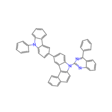 c1ccc(-c2nc(-n3c4ccc(-c5ccc6c(c5)c5ccccc5n6-c5ccccc5)cc4c4c5ccccc5ccc43)nc3ccccc23)cc1